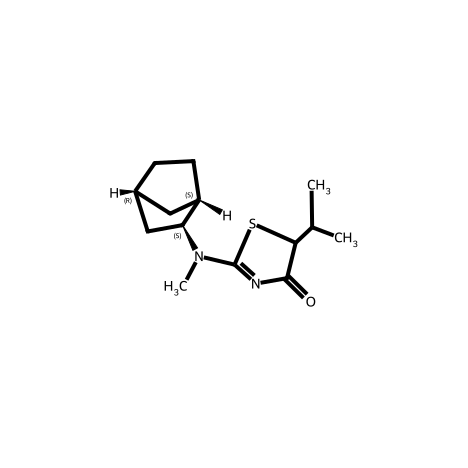 CC(C)C1SC(N(C)[C@H]2C[C@@H]3CC[C@H]2C3)=NC1=O